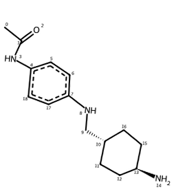 CC(=O)Nc1ccc(NC[C@H]2CC[C@H](N)CC2)cc1